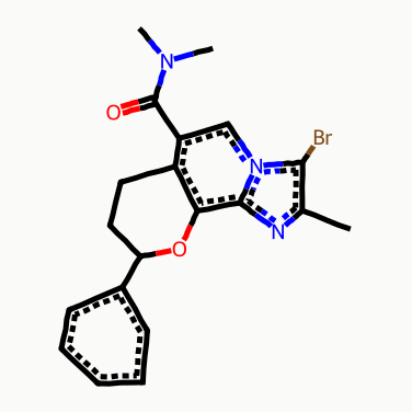 Cc1nc2c3c(c(C(=O)N(C)C)cn2c1Br)CCC(c1ccccc1)O3